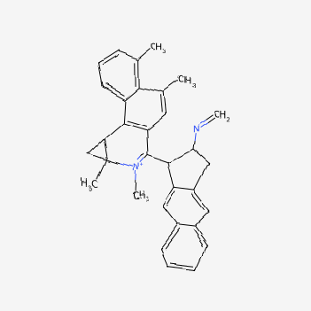 C=NC1Cc2cc3ccccc3cc2C1C1=[N+](C)C2(C)CC2c2c1cc(C)c1c(C)cccc21